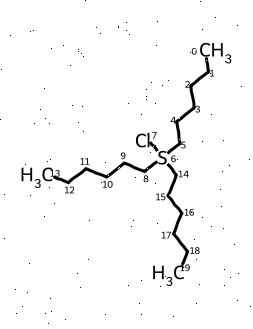 CCCCCCS(Cl)(CCCCCC)CCCCCC